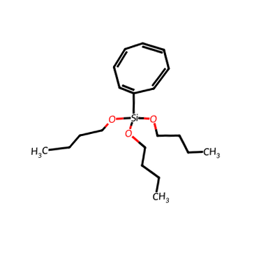 CCCCO[Si](OCCCC)(OCCCC)C1=C/C=C\C=C/C=C\1